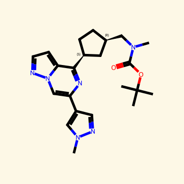 CN(C[C@@H]1CC[C@H](c2nc(-c3cnn(C)c3)cn3nccc23)C1)C(=O)OC(C)(C)C